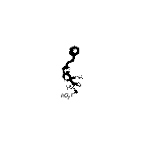 O=C(O)CNC(=O)c1ncc2cc(CCc3ccccc3)sc2c1O